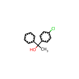 CC(O)(c1ccccc1)c1ccc(Cl)cc1